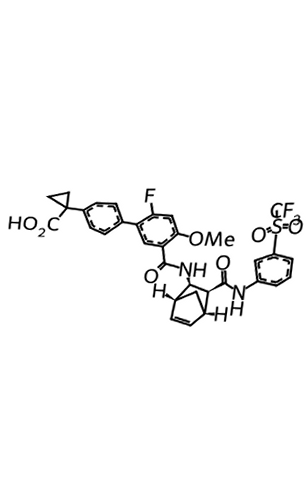 COc1cc(F)c(-c2ccc(C3(C(=O)O)CC3)cc2)cc1C(=O)N[C@H]1[C@@H](C(=O)Nc2cccc(S(=O)(=O)C(F)(F)F)c2)[C@@H]2C=C[C@H]1C2